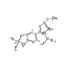 OCc1cc(-c2ccc(OC(F)(F)F)cc2)n(C(F)F)n1